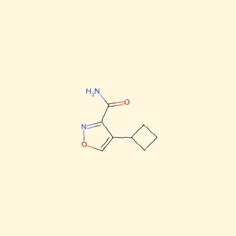 NC(=O)c1nocc1C1CCC1